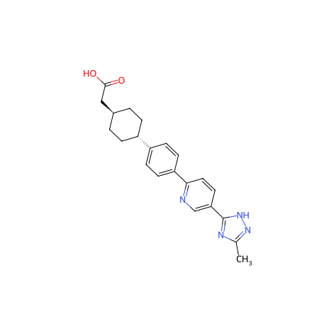 Cc1n[nH]c(-c2ccc(-c3ccc([C@H]4CC[C@H](CC(=O)O)CC4)cc3)nc2)n1